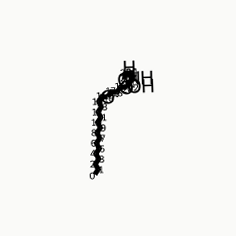 CCCCCCCCCCCCCC/C=C\OC[CH]CO[PH]1(O)NCCO1